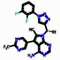 CC[C@@H](c1cn(-c2cccc(F)c2F)nn1)n1c(C#N)c(-c2cnc(C(F)(F)F)nc2)c2c(N)ncnc21